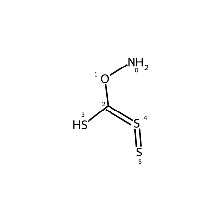 NOC(S)=S=S